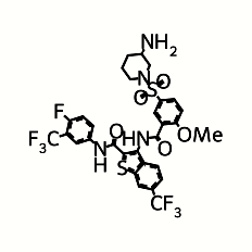 COc1ccc(S(=O)(=O)N2CCC[C@@H](N)C2)cc1C(=O)Nc1c(C(=O)Nc2ccc(F)c(C(F)(F)F)c2)sc2cc(C(F)(F)F)ccc12